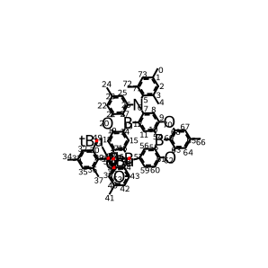 Cc1cc(C)c(N2c3cc4c(cc3B3c5cc6c(cc5Oc5cc(C)cc2c53)N(c2c(C)cc(C)cc2C)c2cc(C)cc3c2B6c2cc(C(C)(C)C)ccc2O3)B2c3cc(C(C)(C)C)ccc3Oc3cc(C)cc(c32)O4)c(C)c1